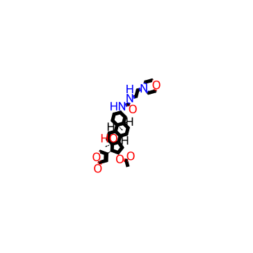 CC(=O)O[C@H]1C[C@]2(O)[C@@H]3CC[C@@H]4C[C@@H](NC(=O)NCCN5CCOCC5)CC[C@]4(C)[C@H]3CC[C@]2(C)[C@H]1C1=CC(=O)OC1